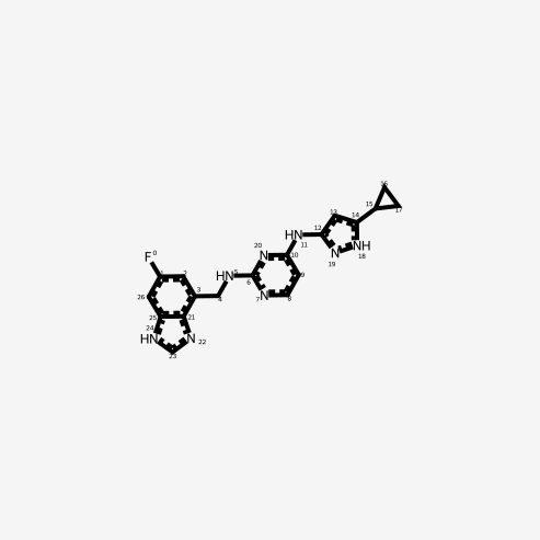 Fc1cc(CNc2nccc(Nc3cc(C4CC4)[nH]n3)n2)c2nc[nH]c2c1